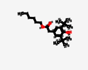 CCCCCCOC(=O)Cc1cc(C(C)(C)C)c(O)c(C(C)(C)C)c1